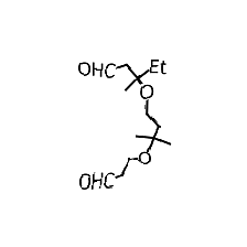 CCC(C)(CC=O)OCCC(C)(C)OCCC=O